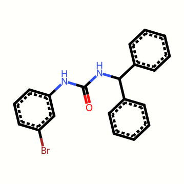 O=C(Nc1cccc(Br)c1)NC(c1ccccc1)c1ccccc1